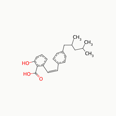 CC(C)CC(C)Cc1ccc(/C=C\c2cccc(O)c2C(=O)O)cc1